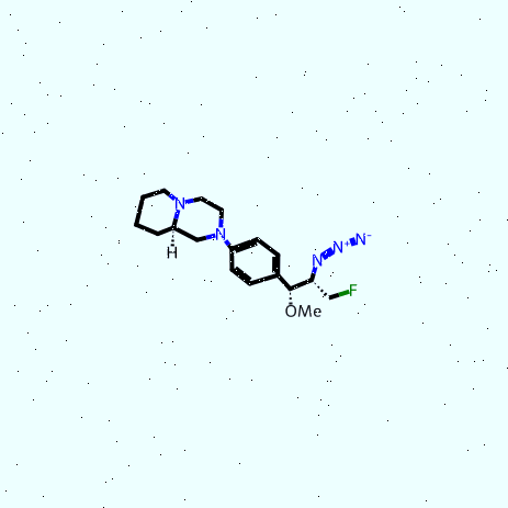 CO[C@H](c1ccc(N2CCN3CCCC[C@@H]3C2)cc1)[C@@H](CF)N=[N+]=[N-]